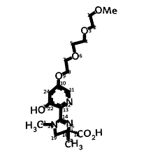 COCCOCCOCCOc1cnc(C2=N[C@@](C)(C(=O)O)CN2C)c(O)c1